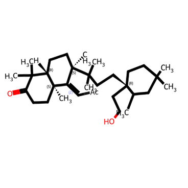 CC(=O)/C=C1/[C@@]2(C)CCC(=O)C(C)(C)[C@@H]2CC[C@@]1(C)C(C)(C)CC[C@@]1(CCO)CCC(C)(C)CC1C